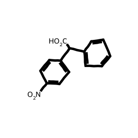 O=C(O)C(c1ccccc1)c1ccc([N+](=O)[O-])cc1